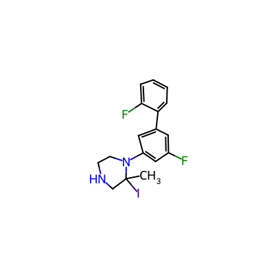 CC1(I)CNCCN1c1cc(F)cc(-c2ccccc2F)c1